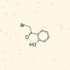 O=C(CBr)c1ccccc1O